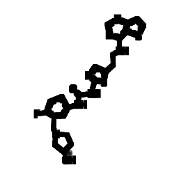 O=C(Nc1ccc(F)c(CN2CC[C@H](O)C2)c1)Nc1ncc(CCNc2ncnc3ccsc23)s1